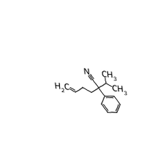 C=CCCC(C#N)(c1ccccc1)C(C)C